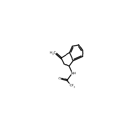 C=C1CC(NC(=O)C(F)(F)F)c2ccccc21